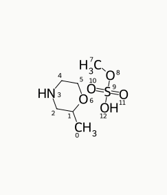 CC1CNCCO1.COS(=O)(=O)O